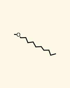 CCCCCCCCCCOC